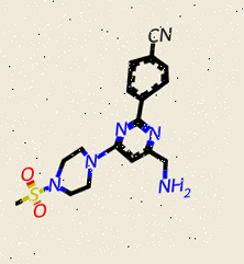 CS(=O)(=O)N1CCN(c2cc(CN)nc(-c3ccc(C#N)cc3)n2)CC1